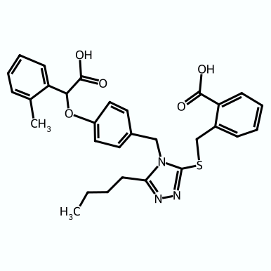 CCCCc1nnc(SCc2ccccc2C(=O)O)n1Cc1ccc(OC(C(=O)O)c2ccccc2C)cc1